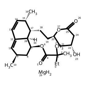 CCC(C)(C)C(=O)O[C@H]1C[C@@H](C)C=C2C=C[C@H](C)[C@H](CC[C@@H]3C[C@@H](O)CC(=O)O3)[C@H]21.[MgH2]